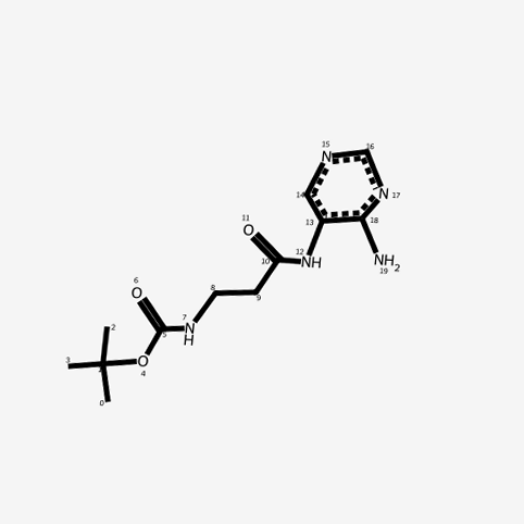 CC(C)(C)OC(=O)NCCC(=O)Nc1cncnc1N